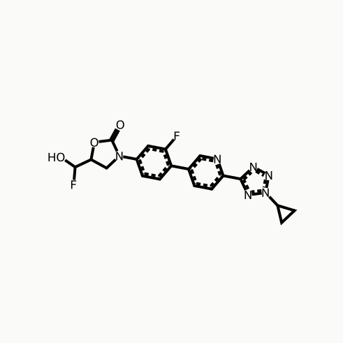 O=C1OC(C(O)F)CN1c1ccc(-c2ccc(-c3nnn(C4CC4)n3)nc2)c(F)c1